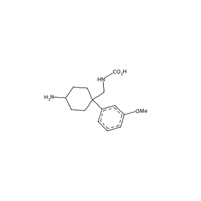 COc1cccc(C2(CNC(=O)O)CCC(N)CC2)c1